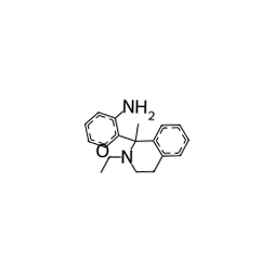 CC(=O)N1CCc2ccccc2C1(C)c1ccccc1N